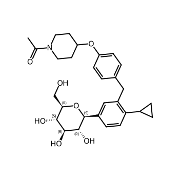 CC(=O)N1CCC(Oc2ccc(Cc3cc([C@@H]4O[C@H](CO)[C@@H](O)[C@H](O)[C@H]4O)ccc3C3CC3)cc2)CC1